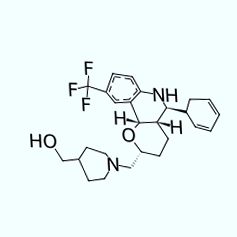 OCC1CCN(C[C@H]2CC[C@@H]3[C@H](O2)c2cc(C(F)(F)F)ccc2N[C@H]3C2C=CC=CC2)CC1